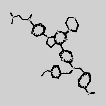 COc1ccc(CN(Cc2ccc(OC)cc2)c2ncc(-c3nc(N4CCOCC4)nc4c3CCN4c3ccc(N(C)CCN(C)C)nc3)cn2)cc1